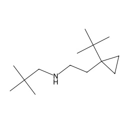 CC(C)(C)CNCCC1(C(C)(C)C)CC1